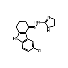 Clc1ccc2[nH]c3c(c2c1)/C(=N/NC1=NCCN1)CCC3